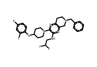 Fc1ccc(OC2CCN(c3nc4c(nc3NCC(F)F)CN(Cc3ccccc3)CC4)CC2)c(F)c1